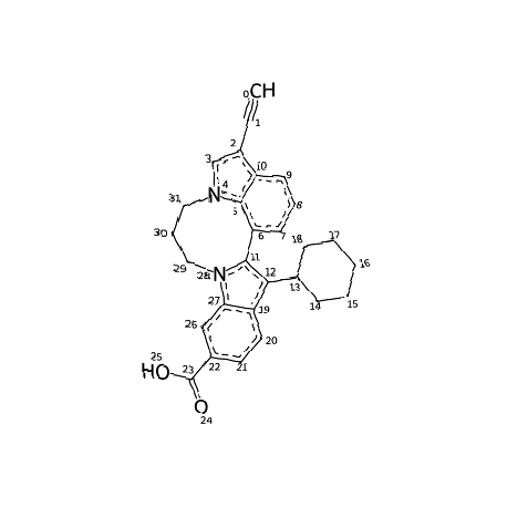 C#Cc1cn2c3c(cccc13)-c1c(C3CCCCC3)c3ccc(C(=O)O)cc3n1CCC2